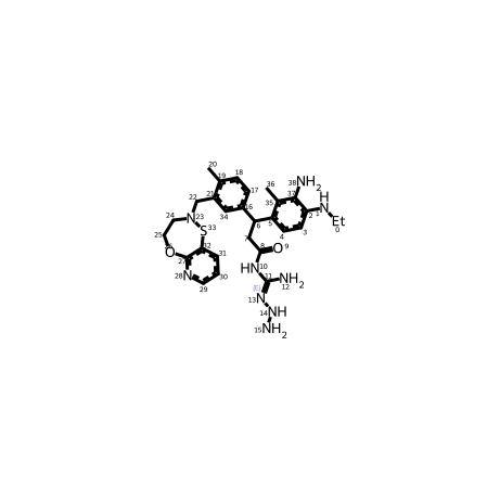 CCNc1ccc(C(CC(=O)N/C(N)=N/NN)c2ccc(C)c(CN3CCOc4ncccc4S3)c2)c(C)c1N